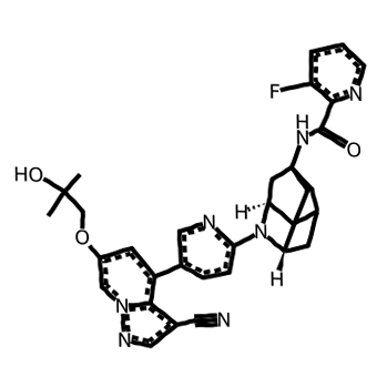 CC(C)(O)COc1cc(-c2ccc(N3[C@@H]4CC5C[C@H]3CC(NC(=O)c3ncccc3F)(C5)C4)nc2)c2c(C#N)cnn2c1